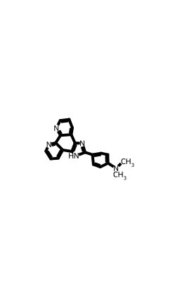 CN(C)c1ccc(-c2nc3c4cccnc4c4ncccc4c3[nH]2)cc1